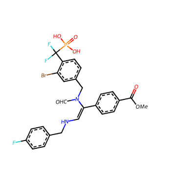 COC(=O)c1ccc(/C(=C/NCc2ccc(F)cc2)N(C=O)Cc2ccc(C(F)(F)P(=O)(O)O)c(Br)c2)cc1